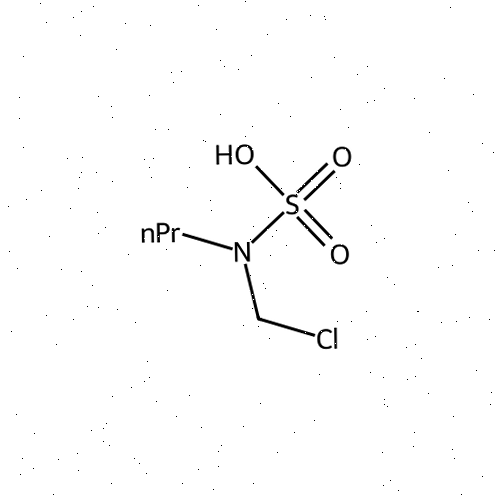 CCCN(CCl)S(=O)(=O)O